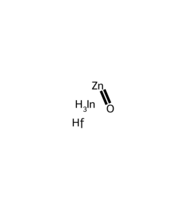 [Hf].[InH3].[O]=[Zn]